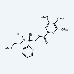 CC[C@@](COC(=O)c1cc(OC)c(OC)c(OC)c1)(c1ccccc1)N(C)CCOC